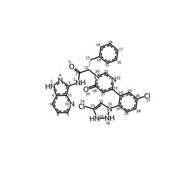 O=C(Nc1n[nH]c2cccnc12)[C@H](Cc1ccccc1)n1cnc(-c2cc(Cl)ccc2N2C=C(Cl)NN2)cc1=O